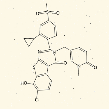 Cn1cc(Cn2c(-c3ccc(S(C)(=O)=O)cc3C3CC3)nc3sc4c(O)c(Cl)ccc4c3c2=O)ccc1=O